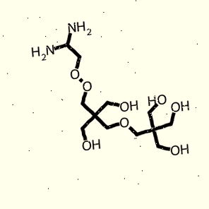 NC(N)COOCC(CO)(CO)COCC(CO)(CO)CO